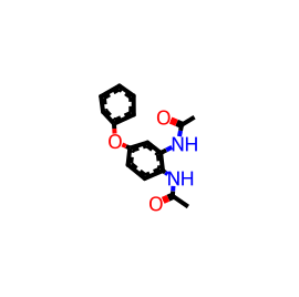 CC(=O)Nc1ccc(Oc2ccccc2)cc1NC(C)=O